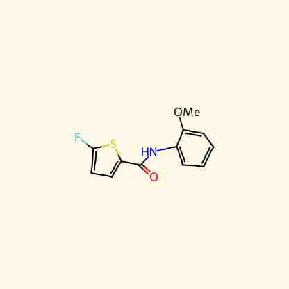 COc1ccccc1NC(=O)c1ccc(F)s1